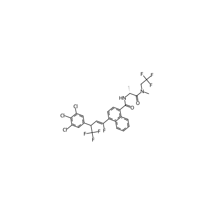 C[C@@H](NC(=O)c1ccc(/C(F)=C/C(c2cc(Cl)c(Cl)c(Cl)c2)C(F)(F)F)c2ccccc12)C(=O)N(C)CC(F)(F)F